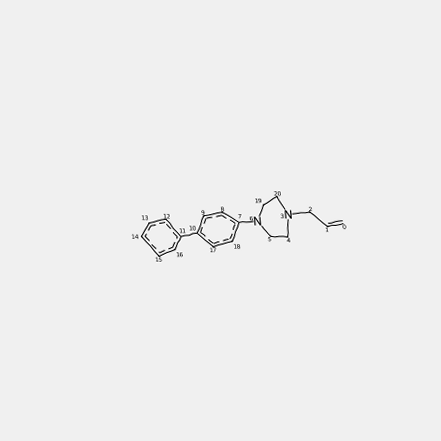 C=CCN1CCN(c2ccc(-c3ccccc3)cc2)CC1